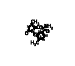 CN1CC(=O)N(C)C1=O.Cc1ccc(S(N)(=O)=O)cc1